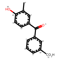 Cc1cc(C(=O)c2cccc(C(=O)O)c2)ccc1O